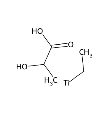 CC(O)C(=O)O.C[CH2][Ti]